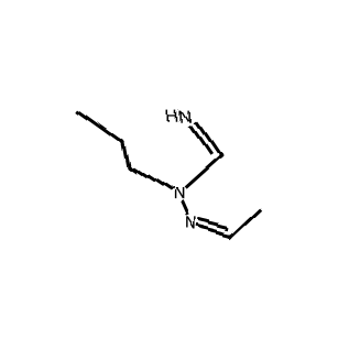 C/C=N\N(C=N)CCC